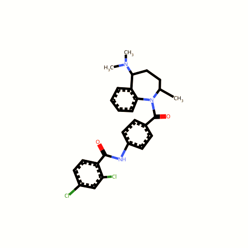 CC1CCC(N(C)C)c2ccccc2N1C(=O)c1ccc(NC(=O)c2ccc(Cl)cc2Cl)cc1